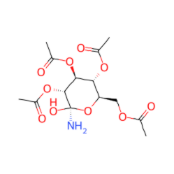 CC(=O)OC[C@H]1O[C@@](N)(O)[C@H](OC(C)=O)[C@@H](OC(C)=O)[C@@H]1OC(C)=O